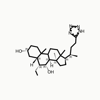 CC[C@H]1[C@@H](O)[C@H]2C(CCC3(C)[C@@H]([C@H](C)CCc4nnn[nH]4)CC[C@@]23C)C2(C)CC[C@@H](O)C[C@@H]12